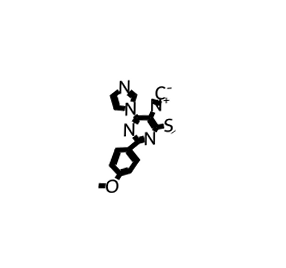 [C-]#[N+]c1c(SC)nc(-c2ccc(OC)cc2)nc1-n1ccnc1